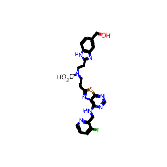 O=C(O)N(CCc1nc2cc(CO)ccc2[nH]1)CCc1nc2c(NCc3ncccc3F)ncnc2s1